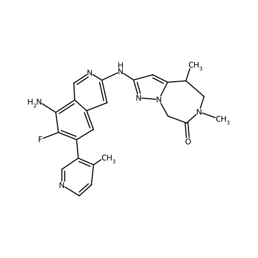 Cc1ccncc1-c1cc2cc(Nc3cc4n(n3)CC(=O)N(C)CC4C)ncc2c(N)c1F